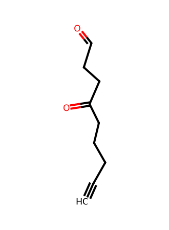 C#CCCCC(=O)CCC=O